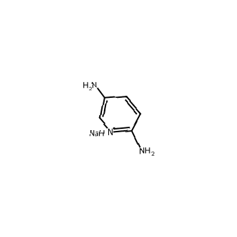 Nc1ccc(N)nc1.[NaH]